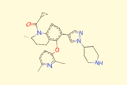 Cc1ccc(Oc2c(-c3cnn(C4CCNCC4)c3)ccc3c2CC[C@H](C)N3C(=O)C2CC2)c(C)n1